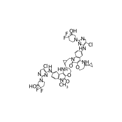 Cn1c(=O)c2c(c3cc(Nc4nc(N5CCC(F)(F)[C@H](O)C5)ncc4Cl)ccc31)N[C@@H](C1CC1Cn1c(=O)c3c(c4cc(Nc5nc(N6CCC(F)(F)[C@@H](O)C6)ncc5Cl)ccc41)N[C@@H](C1CC1)CCO3)CCO2